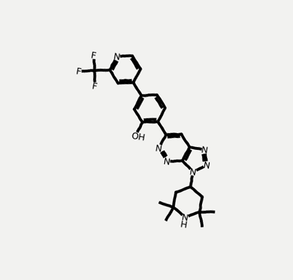 CC1(C)CC(n2nnc3cc(-c4ccc(-c5ccnc(C(F)(F)F)c5)cc4O)nnc32)CC(C)(C)N1